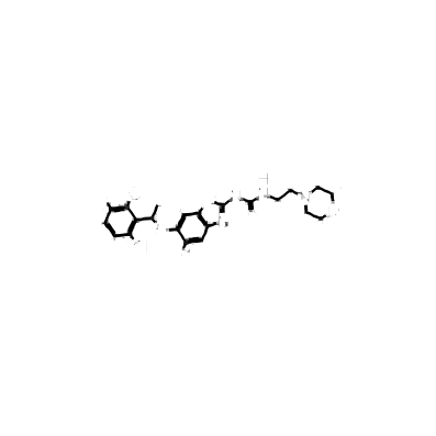 CC(Oc1cc2sc(NC(=O)NCCN3CCOCC3)nc2cc1F)c1c(Cl)ccc(F)c1Cl